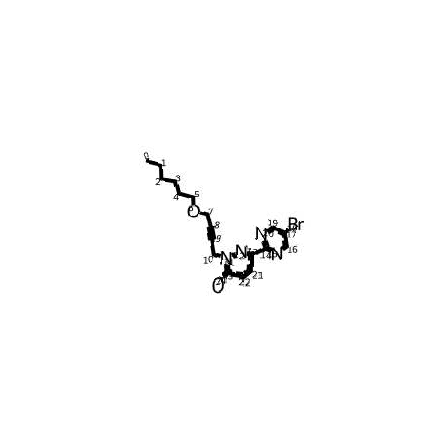 CCCCCCOCC#CCn1nc(-c2ncc(Br)cn2)ccc1=O